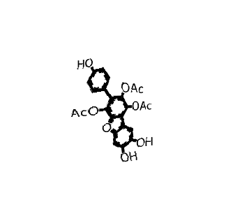 CC(=O)Oc1c(-c2ccc(O)cc2)c(OC(C)=O)c2oc3cc(O)c(O)cc3c2c1OC(C)=O